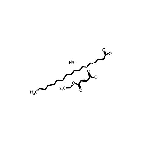 CCCCCCCCCCCCCCCCCC(=O)O.CCOC(=O)/C=C/C(=O)[O-].[Na+]